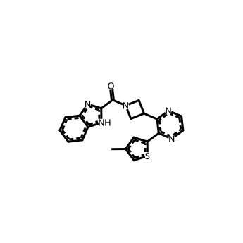 Cc1csc(-c2nccnc2C2CN(C(=O)c3nc4ccccc4[nH]3)C2)c1